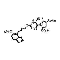 COc1ccc2ccccc2c1CCCCOC(=O)N[C@H](C(=O)N1C[C@@H](OC)C[C@H]1C(=O)O)C(C)(C)C